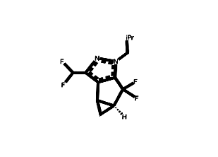 CC(C)Cn1nc(C(F)F)c2c1C(F)(F)[C@H]1CC21